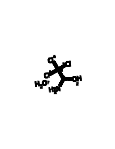 NC(O)C(Cl)(Cl)Cl.O